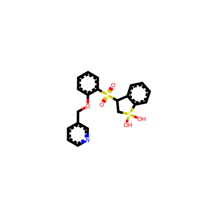 O=S(=O)(c1ccccc1OCc1cccnc1)C1CS(O)(O)c2ccccc21